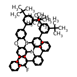 CC(C)(C)c1cc(-c2ccc3c(c2)B2c4cc(-c5cc(C(C)(C)C)cc(C(C)(C)C)c5)ccc4N(c4c(-c5ccccc5F)cccc4-c4ccccc4F)c4cc(-c5ccccc5)cc(c42)O3)cc(C(C)(C)C)c1